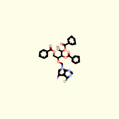 CC(OC(=O)c1ccccc1)C(OC(=O)c1ccccc1)C(COC(=O)c1ccccc1)OCn1cc(I)c2c(Cl)ncnc21